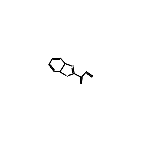 C=CC(=C)C1=NC2C=CC=CC2S1